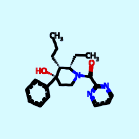 CCC[C@@H]1[C@H](CC)N(C(=O)c2ncccn2)CC[C@@]1(O)c1ccccc1